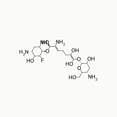 N/C(=C\CC/C(O)=C(\O)O[C@H]1OC(CO)[C@@H](N)CC1O)[C@H](O)O[C@@H]1C(N)C[C@@H](N)C(O)C1F